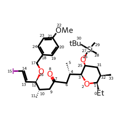 CC[C@H]1O[C@@H]([C@@H](C)CC(=O)C[C@H](C)[C@@H](/C=C/I)OCc2ccc(OC)cc2)[C@@H](O[Si](C)(C)C(C)(C)C)C[C@H]1C